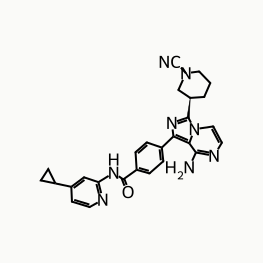 N#CN1CCC[C@@H](c2nc(-c3ccc(C(=O)Nc4cc(C5CC5)ccn4)cc3)c3c(N)nccn23)C1